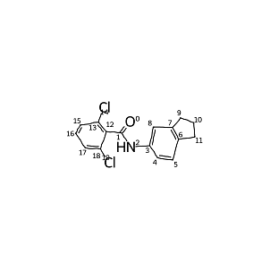 O=C(Nc1ccc2c(c1)CCC2)c1c(Cl)cccc1Cl